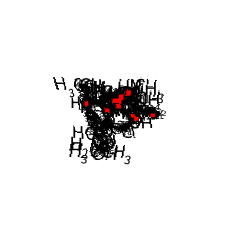 CNCCOc1ccc(C(=O)NC(=O)C2NC(=O)[C@H](NC(=O)[C@@H](CC(C)C)NC)[C@H](O)c3ccc(c(C)c3)Oc3cc4cc(c3O[C@@H]3C[C@H](CO)[C@@H](O)[C@H](O)[C@H]3O[C@H]3C[C@](C)(N)[C@H](O)[C@H](C)O3)Oc3ccc(cc3Cl)[C@@H](O)[C@@H]3NC(=O)[C@H](NC(=O)[C@@H]4NC2=O)c2ccc(O)c(c2)-c2c(O)cc(O)cc2[C@@H](C(=O)NC2C4CC5CC(C4)CC2C5)NC3=O)cc1